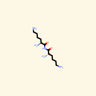 NCCCC[C@H](N)C(=O)NC(=O)[C@@H](N)CCCCN